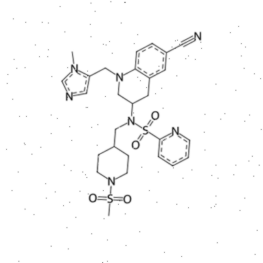 Cn1cncc1CN1CC(N(CC2CCN(S(C)(=O)=O)CC2)S(=O)(=O)c2ccccn2)Cc2cc(C#N)ccc21